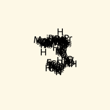 CCC(C)[C@@H]([C@@H](CC(=O)N1CCC[C@H]1[C@H](OC)[C@@H](C)C(=O)N[C@H](C)[C@@H](O)c1ccccc1)OC)N(C)C(=O)[C@@H](CCNC(=O)[C@H](C(C)C)N(C)C(=O)[C@@H]1CC(F)(F)CN1C(=O)CNC(=O)c1ccnc2ccc(OCCCCNc3c(NCCCCOc4ccc5nccc(C(=O)NCC(=O)N6CC(C)(F)C[C@@H]6C#N)c5c4)c(=O)c3=O)cc12)C(C)C